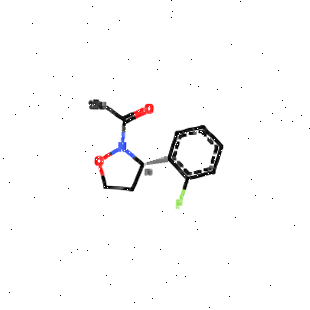 CC(C)(C)C(=O)N1OCC[C@H]1c1ccccc1F